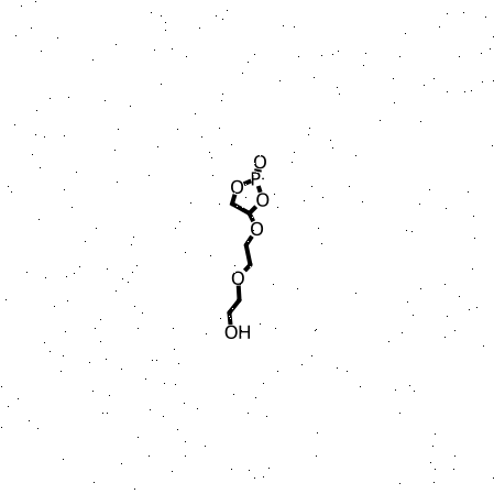 O=[P]1OCC(OCCOCCO)O1